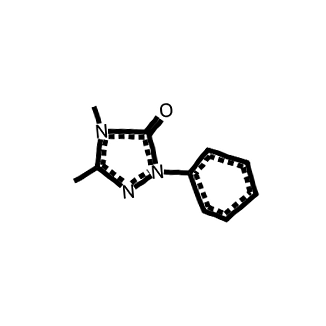 Cc1nn(-c2ccccc2)c(=O)n1C